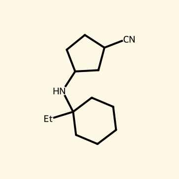 CCC1(NC2CCC(C#N)C2)CCCCC1